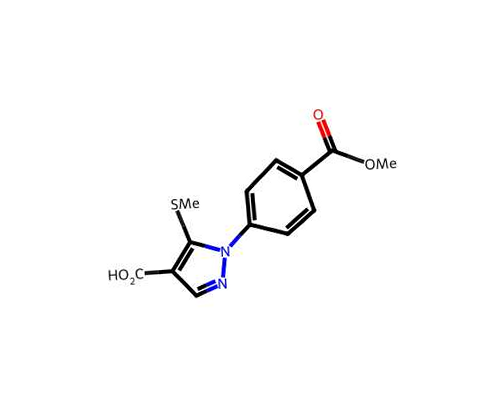 COC(=O)c1ccc(-n2ncc(C(=O)O)c2SC)cc1